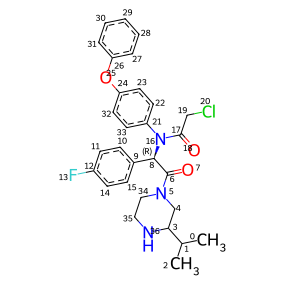 CC(C)C1CN(C(=O)[C@@H](c2ccc(F)cc2)N(C(=O)CCl)c2ccc(Oc3ccccc3)cc2)CCN1